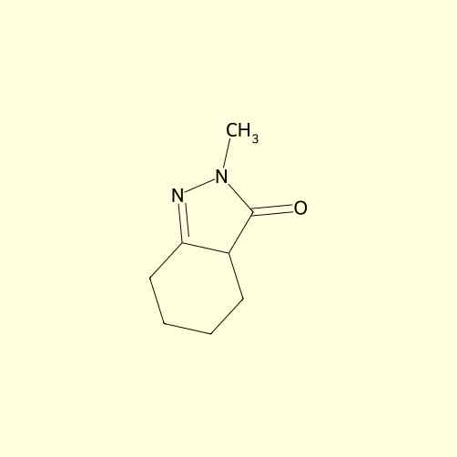 CN1N=C2CCCCC2C1=O